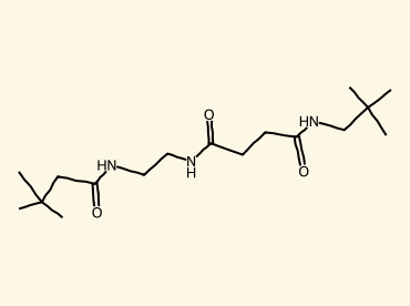 CC(C)(C)CNC(=O)CCC(=O)NCCNC(=O)CC(C)(C)C